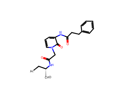 CC(=O)C[C@@H](C=O)NC(=O)Cn1cccc(NC(=O)CCc2ccccc2)c1=O